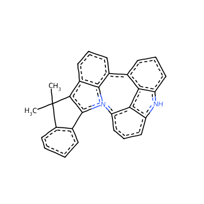 CC1(C)c2ccccc2-c2c1c1cccc3c4cccc5[nH]c6cccc(c6c54)n2c13